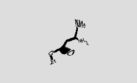 CCOC(=O)C=C(N)NC